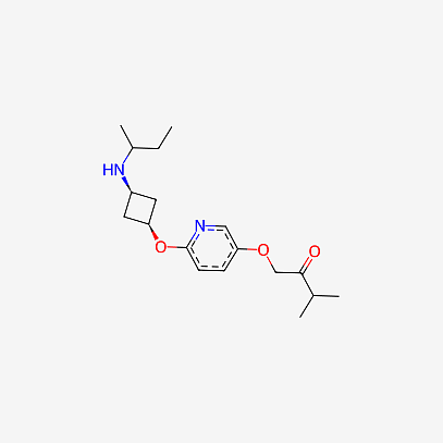 CCC(C)N[C@H]1C[C@@H](Oc2ccc(OCC(=O)C(C)C)cn2)C1